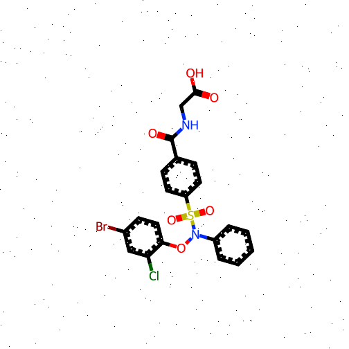 O=C(O)CNC(=O)c1ccc(S(=O)(=O)N(Oc2ccc(Br)cc2Cl)c2ccccc2)cc1